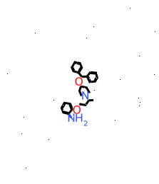 CC(CCOc1ccccc1N)N1CCC(OC(c2ccccc2)c2ccccc2)CC1